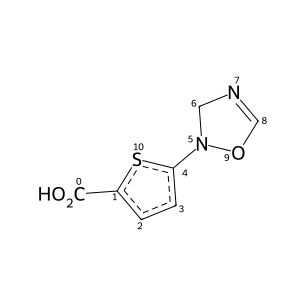 O=C(O)c1ccc(N2CN=CO2)s1